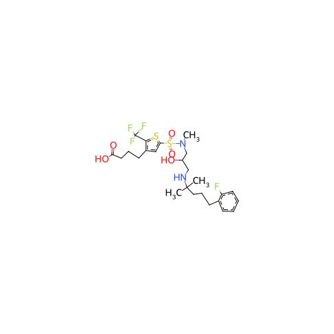 CN(CC(O)CNC(C)(C)CCCc1ccccc1F)S(=O)(=O)c1cc(CCCC(=O)O)c(C(F)(F)F)s1